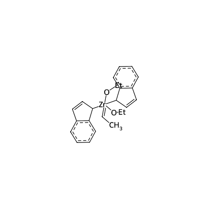 C[CH]=[Zr]([O]CC)([O]CC)([CH]1C=Cc2ccccc21)[CH]1C=Cc2ccccc21